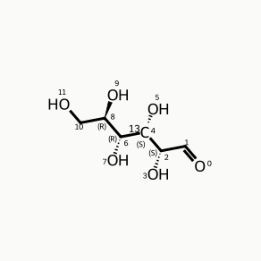 O=C[C@H](O)[13C@@H](O)[C@H](O)[C@H](O)CO